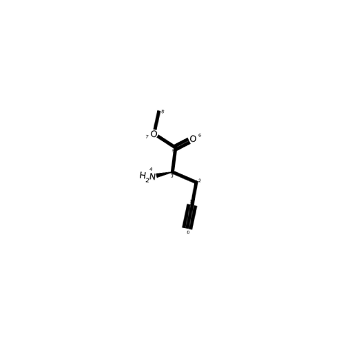 C#CC[C@@H](N)C(=O)OC